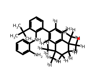 [2H]c1c([2H])c2c(c([2H])c1-c1cccc(C(C)(C)C)c1Nc1ccccc1N)C(C([2H])([2H])[2H])(C([2H])([2H])[2H])C([2H])([2H])C([2H])([2H])C2(C([2H])([2H])[2H])C([2H])([2H])[2H]